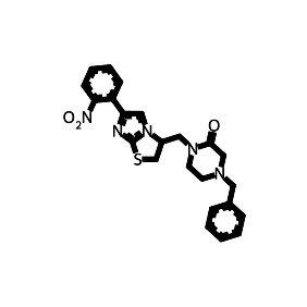 O=C1CN(Cc2ccccc2)CCN1CC1CSc2nc(-c3ccccc3[N+](=O)[O-])cn21